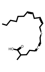 CCCCCC/C=C\C/C=C\CSCC=C=CCCC(C)C(=O)O